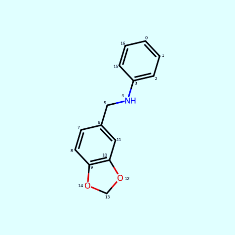 c1ccc(NCc2ccc3c(c2)OCO3)cc1